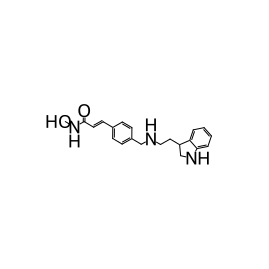 O=C(/C=C/c1ccc(CNCCC2CNc3ccccc32)cc1)NO